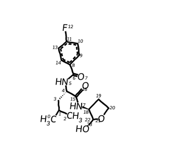 CC(C)C[C@H](NC(=O)c1ccc(F)cc1)C(=O)N[C@H]1CCOC1O